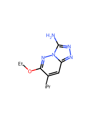 CCOc1nn2c(N)nnc2cc1C(C)C